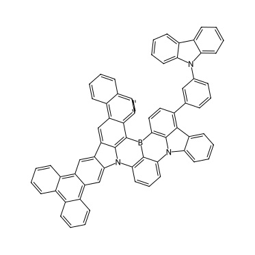 c1cc(-c2ccc3c4c2c2ccccc2n4-c2cccc4c2B3c2c3c5ccccc5c5ccccc5c3cc3c5cc6c7ccccc7c7ccccc7c6cc5n-4c23)cc(-n2c3ccccc3c3ccccc32)c1